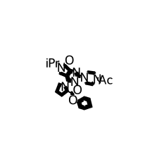 CC(=O)N1CCN(c2nc3c(c(N4CCC[C@@H]4C(=O)Oc4ccccc4)n2)CN(C(C)C)C3=O)CC1